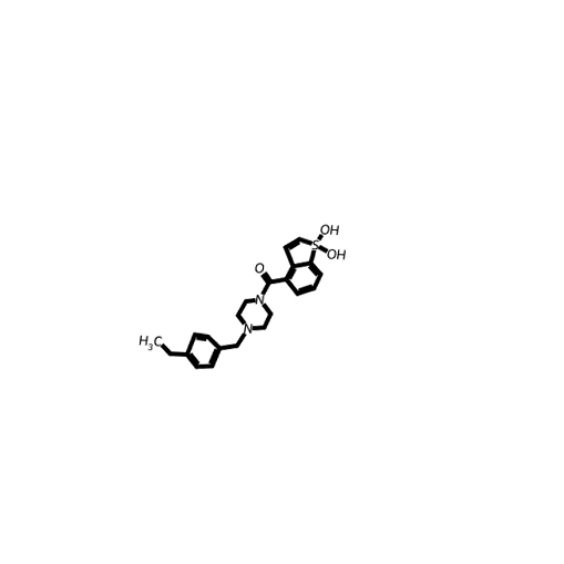 CCc1ccc(CN2CCN(C(=O)c3cccc4c3C=CS4(O)O)CC2)cc1